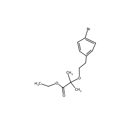 CCOC(=O)C(C)(C)OCCc1ccc(Br)cc1